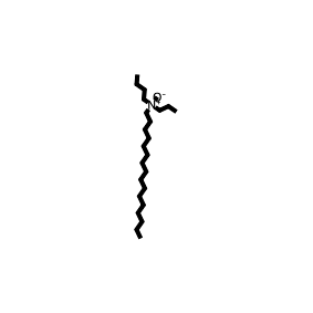 CCCCCCCCCCCCCCCC[N+]([O-])(CCC)CCCC